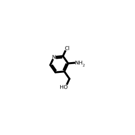 Nc1c(CO)ccnc1Cl